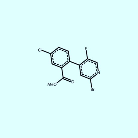 COC(=O)c1cc(Cl)ccc1-c1cc(Br)ncc1F